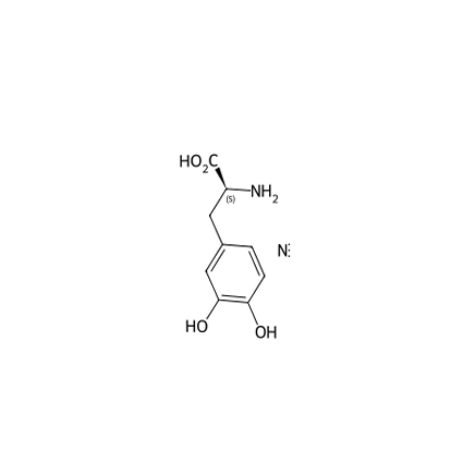 N[C@@H](Cc1ccc(O)c(O)c1)C(=O)O.[N]